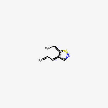 C=C/C=c1/cns/c1=C/C